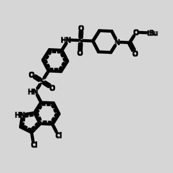 CC(C)(C)OC(=O)N1CCC(S(=O)(=O)Nc2ccc(S(=O)(=O)Nc3ccc(Cl)c4c(Cl)c[nH]c34)cc2)CC1